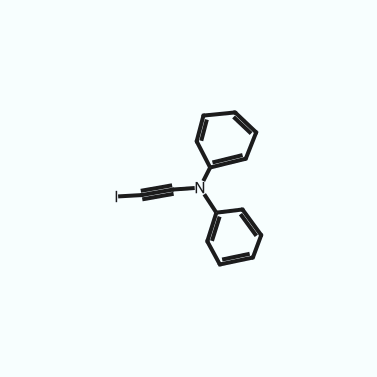 IC#CN(c1ccccc1)c1ccccc1